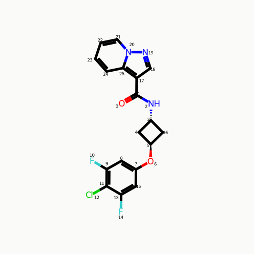 O=C(N[C@H]1C[C@H](Oc2cc(F)c(Cl)c(F)c2)C1)c1cnn2ccccc12